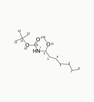 CCCCCCC(NC(=O)OC(C)(C)C)OC